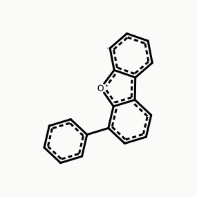 [c]1cccc2c1oc1c(-c3ccccc3)cccc12